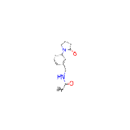 CC(C)C(=O)NCc1cccc(N2CCCC2=O)c1